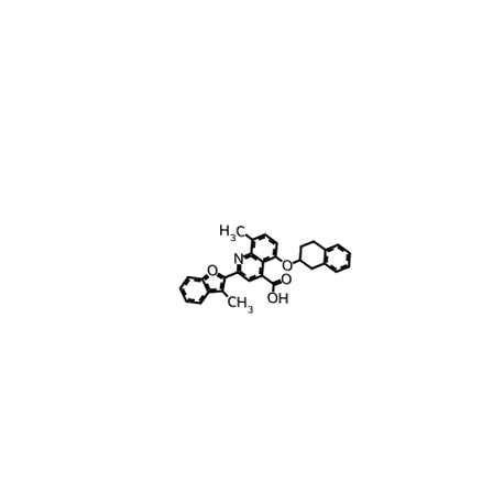 Cc1c(-c2cc(C(=O)O)c3c(OC4CCc5ccccc5C4)ccc(C)c3n2)oc2ccccc12